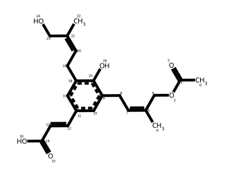 CC(=O)OC/C(C)=C\Cc1cc(/C=C/C(=O)O)cc(C/C=C(/C)CO)c1O